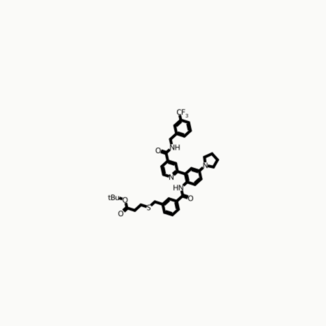 CC(C)(C)OC(=O)CCSCc1cccc(C(=O)Nc2ccc(N3CCCC3)cc2-c2cc(C(=O)NCc3cccc(C(F)(F)F)c3)ccn2)c1